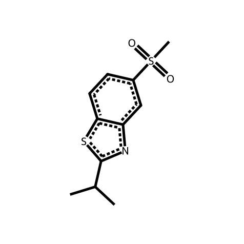 CC(C)c1nc2cc(S(C)(=O)=O)ccc2s1